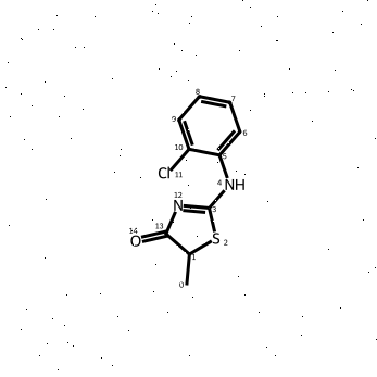 CC1SC(Nc2ccccc2Cl)=NC1=O